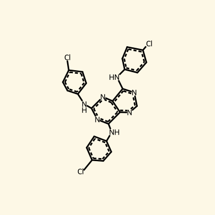 Clc1ccc(Nc2nc(Nc3ccc(Cl)cc3)c3ncnc(Nc4ccc(Cl)cc4)c3n2)cc1